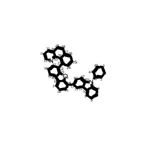 c1ccc(-n2c3ccccc3c3cc(-c4cccc5c4oc4c(-c6cccc7ccc8cccnc8c67)cccc45)ccc32)cc1